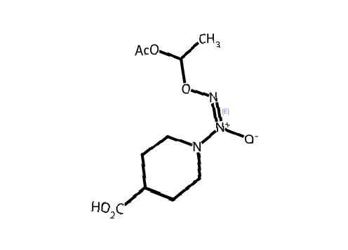 CC(=O)OC(C)O/N=[N+](/[O-])N1CCC(C(=O)O)CC1